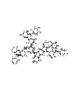 c1ccc(-n2c3ccccc3c3cc(C4=NC(n5c6ccccc6c6cc7c(cc65)c5ccccc5n7-c5cccc6c5c5ccccc5n6-c5ccccc5)=NC(c5ccc6c(c5)c5ccccc5n6-c5ccccc5)N4)ccc32)cc1